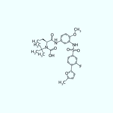 CC[C@@H](C(=O)Nc1ccc(OC)c(NS(=O)(=O)c2ccc(-c3ccc(C)o3)c(F)c2)c1)N(C(=O)O)C(C)(C)C